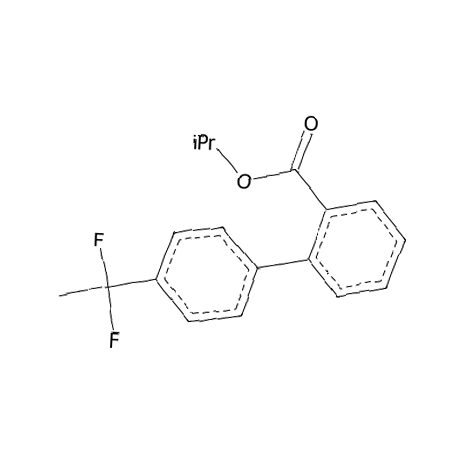 CC(C)OC(=O)c1ccccc1-c1ccc(C(C)(F)F)cc1